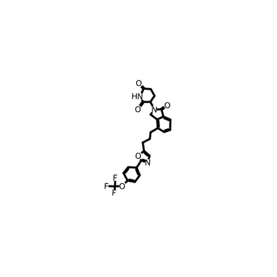 O=C1CCC(N2Cc3c(CCCc4cnc(-c5ccc(OC(F)(F)F)cc5)o4)cccc3C2=O)C(=O)N1